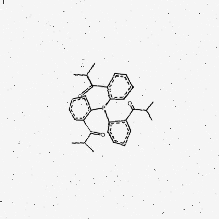 CC(C)C(=O)c1ccccc1P(c1ccccc1C(=O)C(C)C)c1ccccc1C(=O)C(C)C